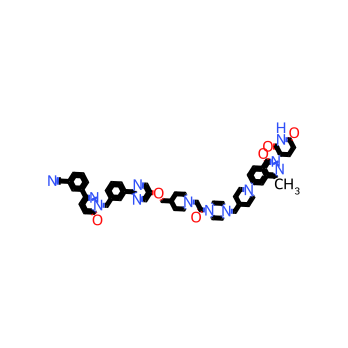 Cc1nn(C2CCC(=O)NC2=O)c(=O)c2ccc(N3CCC(CN4CCN(C(=O)CN5CCC(COc6cnc(-c7cccc(Cn8nc(-c9cccc(C#N)c9)ccc8=O)c7)nc6)CC5)CC4)CC3)cc12